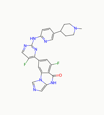 CN1CCC(c2ccc(Nc3ncc(F)c(-c4cc(F)c5c(=O)[nH]c6cncn6c5c4)n3)nc2)CC1